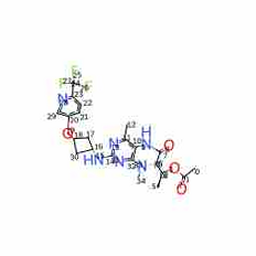 CC(=O)O[C@@H](C)[C@H]1C(=O)Nc2c(C)nc(N[C@H]3C[C@H](Oc4ccc(C(F)(F)F)nc4)C3)nc2N1C